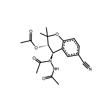 CC(=O)NN(C(C)=O)[C@@H]1c2cc(C#N)ccc2OC(C)(C)[C@H]1OC(C)=O